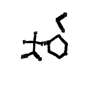 C1CSCCN1.O=C(O)C(F)(F)F.O=S=O